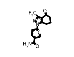 NC(=O)c1ccc(-n2nc(C(F)(F)F)c3c2CCCC3=O)cc1